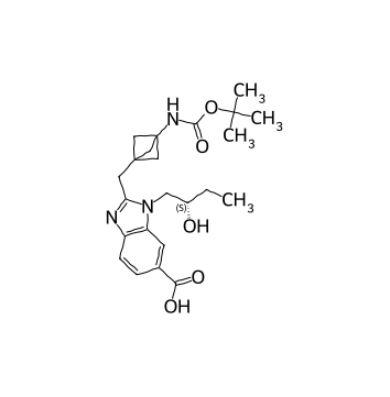 CC[C@H](O)Cn1c(CC23CC(NC(=O)OC(C)(C)C)(C2)C3)nc2ccc(C(=O)O)cc21